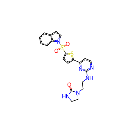 O=C1NCCN1CCNc1nccc(-c2ccc(S(=O)(=O)n3ccc4ccccc43)s2)n1